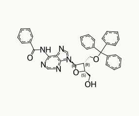 O=C(Nc1ncnc2c1ncn2[C@@H]1O[C@H](CO)[C@H]1COC(c1ccccc1)(c1ccccc1)c1ccccc1)c1ccccc1